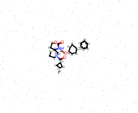 O=C1N[C@]2(CCCN(C(=O)[C@H]3C[C@@H](F)C3)[C@H]2CO[C@H]2CC[C@@H](c3ccccc3)CC2)CCO1